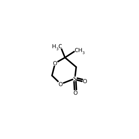 CC1(C)CS(=O)(=O)OCO1